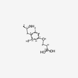 C[C@@H](N)Cc1ccc(OCCB(O)O)cc1F